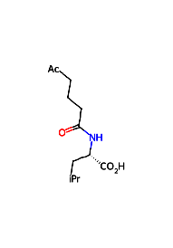 CC(=O)CCCC(=O)N[C@@H](CC(C)C)C(=O)O